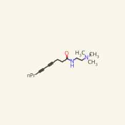 CCCC#CC#CCCC(=O)NCC[N+](C)(C)C